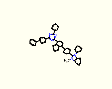 CN1c2ccccc2N(c2ccccc2)C1c1ccc(-c2ccc(-c3nc(-c4ccccc4)nc(-c4ccc(-c5ccccc5)cc4)n3)c3ccccc23)cc1